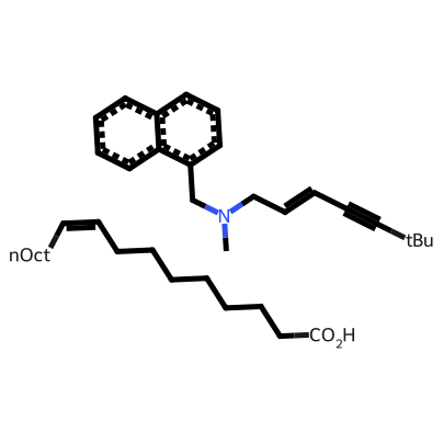 CCCCCCCC/C=C\CCCCCCCC(=O)O.CN(C/C=C/C#CC(C)(C)C)Cc1cccc2ccccc12